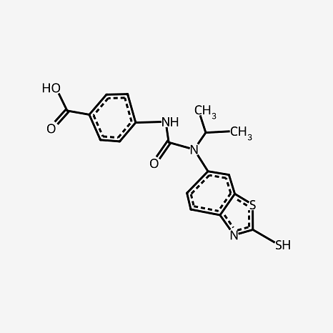 CC(C)N(C(=O)Nc1ccc(C(=O)O)cc1)c1ccc2nc(S)sc2c1